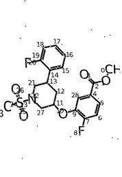 COC(=O)c1ccc(F)c(OC2CC(c3ccccc3F)CN(S(C)(=O)=O)C2)c1